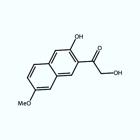 COc1ccc2cc(O)c(C(=O)CO)cc2c1